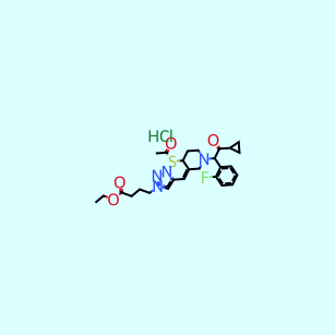 CCOC(=O)CCCn1cc(C=C2CN(C(C(=O)C3CC3)c3ccccc3F)CCC2SC(C)=O)nn1.Cl